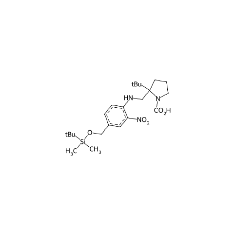 CC(C)(C)C1(CNc2ccc(CO[Si](C)(C)C(C)(C)C)cc2[N+](=O)[O-])CCCN1C(=O)O